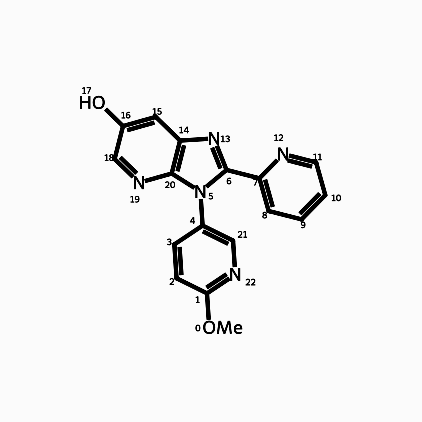 COc1ccc(-n2c(-c3ccccn3)nc3cc(O)cnc32)cn1